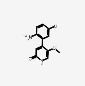 COc1c[nH]c(=O)cc1-c1cc(Cl)ccc1N